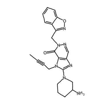 CC#CCn1c(N2CCCC(N)C2)nc2cnn(Cc3noc4ccccc34)c(=O)c21